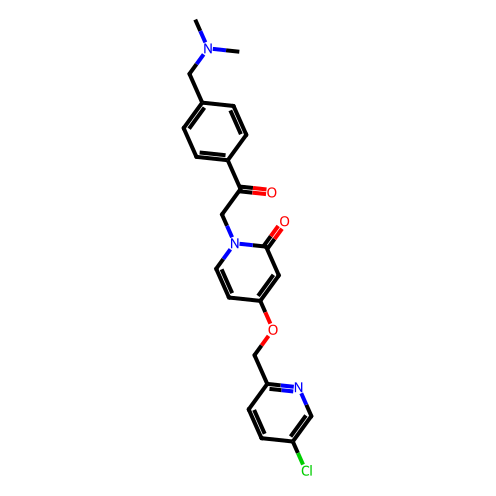 CN(C)Cc1ccc(C(=O)Cn2ccc(OCc3ccc(Cl)cn3)cc2=O)cc1